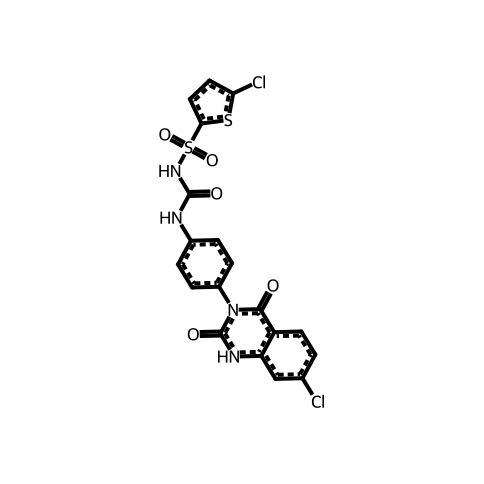 O=C(Nc1ccc(-n2c(=O)[nH]c3cc(Cl)ccc3c2=O)cc1)NS(=O)(=O)c1ccc(Cl)s1